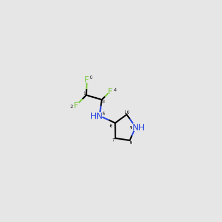 FC(F)C(F)NC1CCNC1